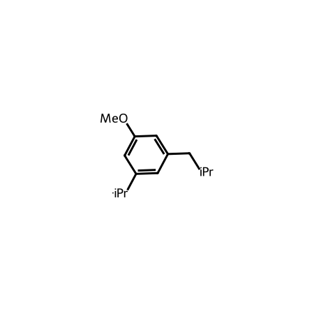 COc1cc(CC(C)C)cc([C](C)C)c1